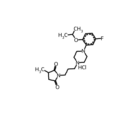 CC(C)Oc1ccc(F)cc1N1CCN(CCCN2C(=O)CC(C)C2=O)CC1.Cl